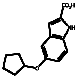 O=C(O)c1cc2cc(OC3CCCC3)ccc2[nH]1